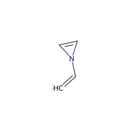 [CH]=CN1C=C1